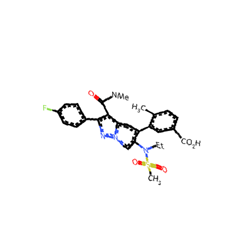 CCN(c1cn2nc(-c3ccc(F)cc3)c(C(=O)NC)c2cc1-c1cc(C(=O)O)ccc1C)S(C)(=O)=O